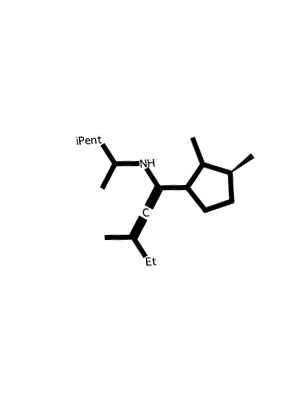 CCCC(C)C(C)NC(=C=C(C)CC)C1CC[C@H](C)C1C